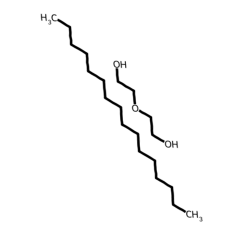 CCCCCCCCCCCCCCCC.OCCOCCO